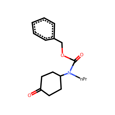 CCCN(C(=O)OCc1ccccc1)C1CCC(=O)CC1